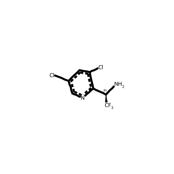 N[C@H](c1ncc(Cl)cc1Cl)C(F)(F)F